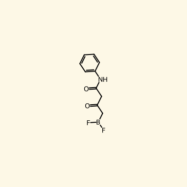 O=C(CB(F)F)CC(=O)Nc1ccccc1